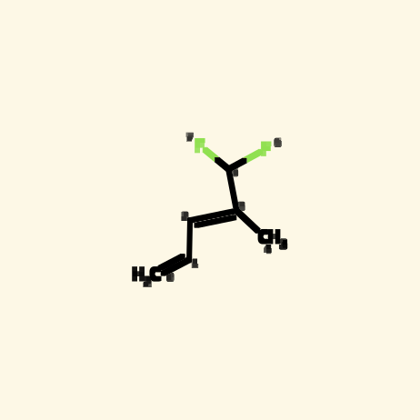 C=C/C=C(\C)C(F)F